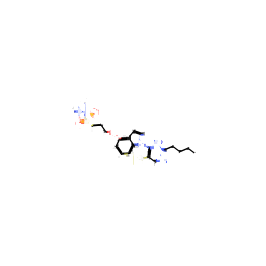 CCCCc1ncc(S)c(-n2ccc3c(OCCCS(=O)(=O)N(C)C)cccc32)n1